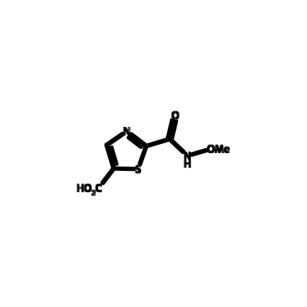 CONC(=O)c1ncc(C(=O)O)s1